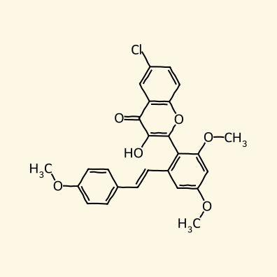 COc1ccc(C=Cc2cc(OC)cc(OC)c2-c2oc3ccc(Cl)cc3c(=O)c2O)cc1